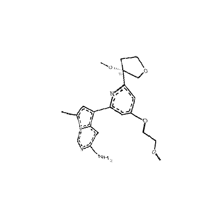 COCCOc1cc(-c2cc(C)n3cnc(N)cc23)nc([C@@]2(OC)CCOC2)c1